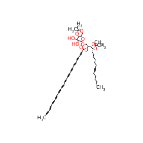 CC#CC#CC#CC#CC#CC#CC#CC#CC#CC#CC#CC#CC(=O)O[C@@H](COC1OC2COC(C)(C)OC2C(O)C1O)[C@@H]1OC(C)(C)O[C@@H]1CCCCCCC#CCCCCCC